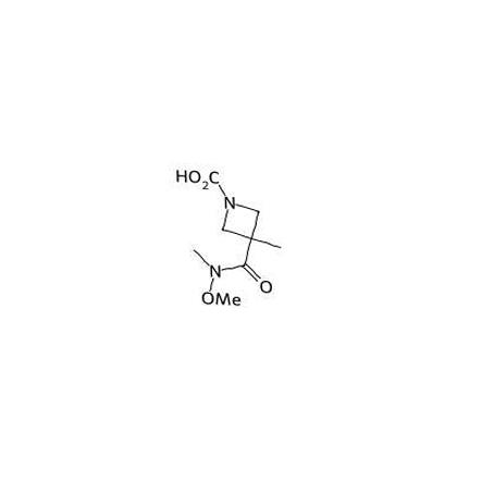 CON(C)C(=O)C1(C)CN(C(=O)O)C1